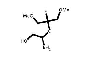 B[C@@H](CO)OC(F)(COC)COC